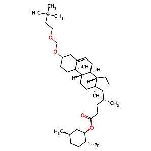 CC(C)[C@@H]1CC[C@@H](C)C[C@H]1OC(=O)CC[C@@H](C)[C@H]1CC[C@H]2[C@@H]3CC=C4C[C@@H](OCOCC[Si](C)(C)C)CC[C@]4(C)[C@H]3CC[C@]12C